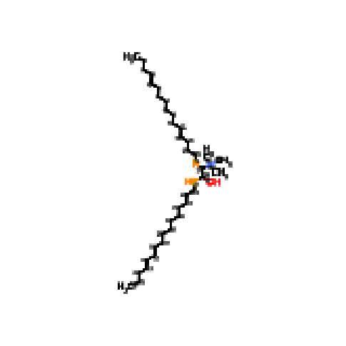 CCCCCCCCCCCCCCCC[P-]C(C(O)PCCCCCCCCCCCCCCCC)[N+](C)(C)C